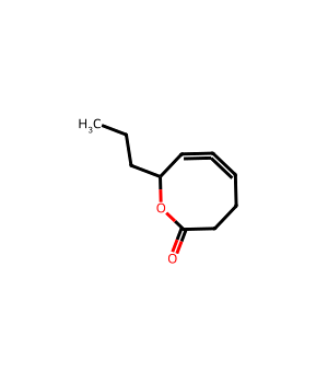 CCCC1C=C=CCCC(=O)O1